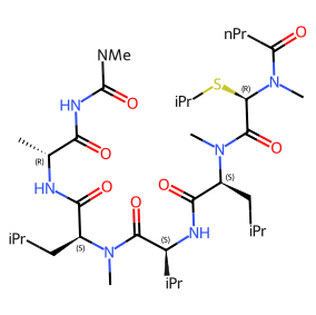 CCCC(=O)N(C)[C@H](SC(C)C)C(=O)N(C)[C@@H](CC(C)C)C(=O)N[C@H](C(=O)N(C)[C@@H](CC(C)C)C(=O)N[C@H](C)C(=O)NC(=O)NC)C(C)C